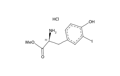 COC(=O)[C@@H](N)Cc1ccc(O)c(I)c1.Cl